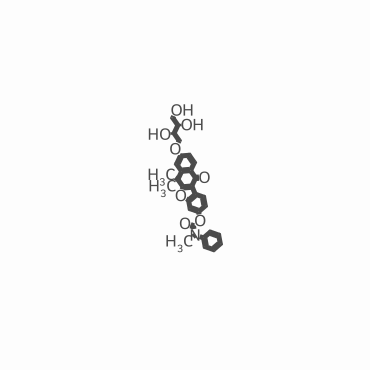 CN(C(=O)Oc1ccc2c3c(oc2c1)C(C)(C)c1cc(OC[C@@H](O)[C@H](O)CO)ccc1C3=O)c1ccccc1